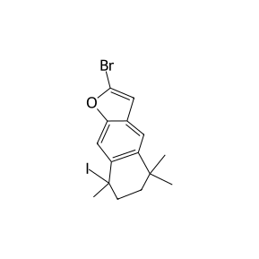 CC1(C)CCC(C)(I)c2cc3oc(Br)cc3cc21